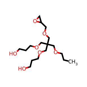 CCCOCC(COCCCO)(COCCCO)COCC1CO1